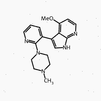 COc1ccnc2[nH]cc(-c3cccnc3N3CCN(C)CC3)c12